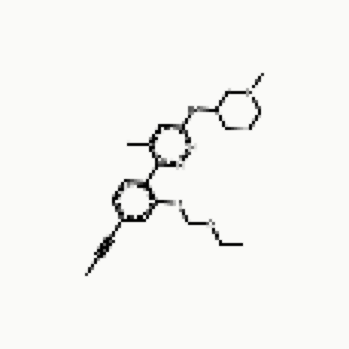 CC#Cc1ccc(-c2nnc(NC3CCCN(C)C3)cc2C)c(OCOCC)c1